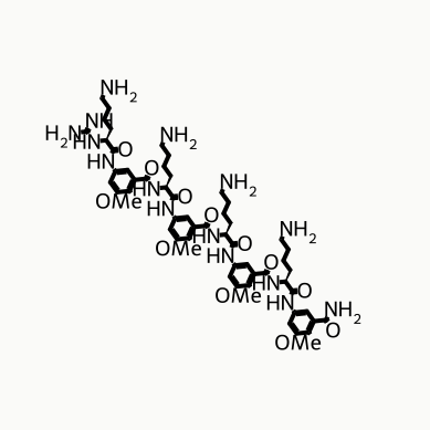 COc1ccc(NC(=O)[C@H](CCCCN)NC(=O)c2cc(NC(=O)[C@H](CCCCN)NC(=O)c3cc(NC(=O)[C@H](CCCCN)NC(=O)c4cc(NC(=O)[C@H](CCCCN)NC(=N)N)ccc4OC)ccc3OC)ccc2OC)cc1C(N)=O